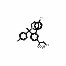 CC(C)CC(C(=O)O)c1ccc(C(C)(c2ccc(F)cc2)N2CCCCC2)c(-c2ccc(C(F)(F)F)cc2)c1